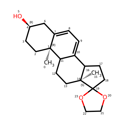 C[C@]12CC[C@@H](O)CC1=CC=C1C2CC[C@@]2(C)C1CCC21OCCO1